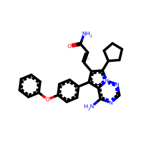 NC(=O)/C=C/c1c(-c2ccc(Oc3ccccc3)cc2)c2c(N)ncnn2c1C1CCCC1